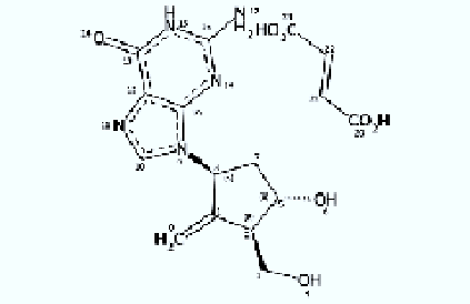 C=C1[C@H](CO)[C@@H](O)C[C@@H]1n1cnc2c(=O)[nH]c(N)nc21.O=C(O)C=CC(=O)O